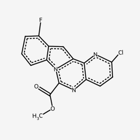 COC(=O)c1nc2ccc(Cl)nc2c2cc3c(F)cccc3n12